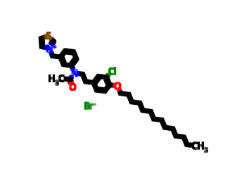 CCCCCCCCCCCCCCOc1ccc(CCN(C(C)=O)c2cccc(C[n+]3ccsc3)c2)cc1Cl.[Br-]